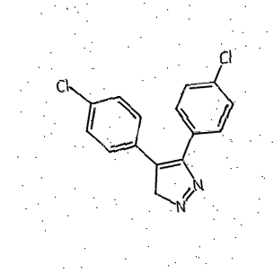 Clc1ccc(C2=C(c3ccc(Cl)cc3)N=NC2)cc1